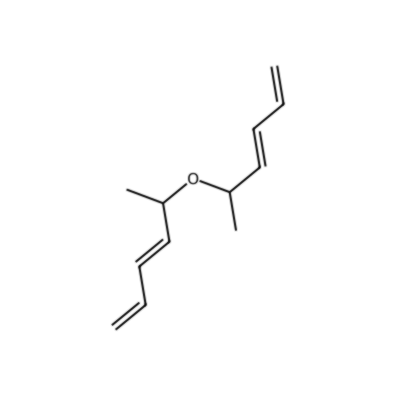 C=CC=CC(C)OC(C)C=CC=C